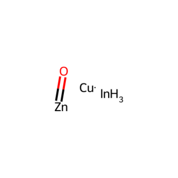 [Cu].[InH3].[O]=[Zn]